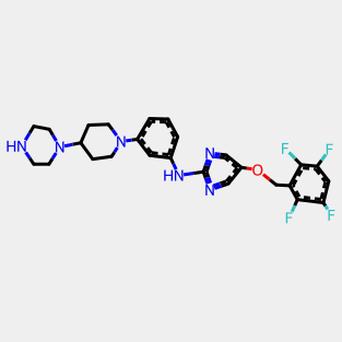 Fc1cc(F)c(F)c(COc2cnc(Nc3cccc(N4CCC(N5CCNCC5)CC4)c3)nc2)c1F